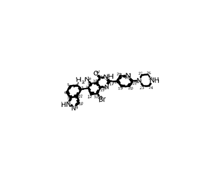 Nc1c(-c2cccc3[nH]ncc23)cc(Br)c2nc(-c3ccc(N4CCNCC4)nc3)[nH]c(=O)c12